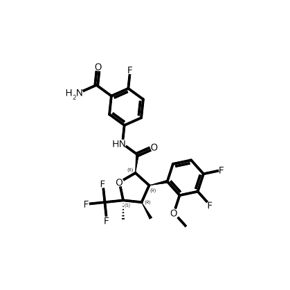 COc1c([C@H]2[C@@H](C)[C@@](C)(C(F)(F)F)O[C@H]2C(=O)Nc2ccc(F)c(C(N)=O)c2)ccc(F)c1F